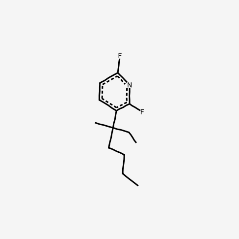 CCCCC(C)(CC)c1ccc(F)nc1F